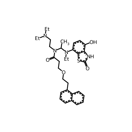 CCN(CC)CCN(C(=O)CCOCCc1cccc2ccccc12)C(C)N(CC)c1ccc(O)c2[nH]c(=O)sc12